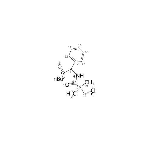 CCCCC(=O)C(NC(=O)C(C)(C)CCl)c1ccccc1